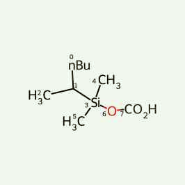 CCCCC(C)[Si](C)(C)OC(=O)O